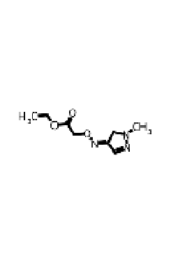 CCOC(=O)CON=C1[C]=NN(C)C1